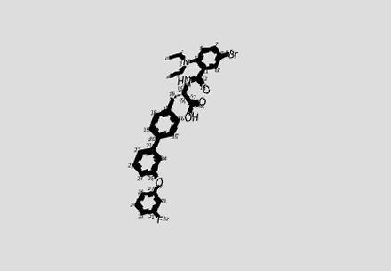 CCN(CC)c1ccc(Br)cc1C(=O)N[C@@H](Cc1ccc(-c2cccc(Oc3cccc(F)c3)c2)cc1)C(=O)O